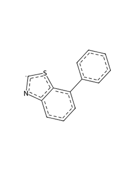 [c]1nc2cccc(-c3ccccc3)c2s1